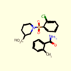 Cc1ccccc1C(N)=O.O=C(O)C1CCCN(S(=O)(=O)c2ccccc2Cl)C1